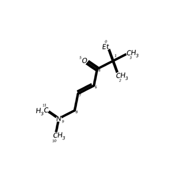 CCC(C)(C)C(=O)/C=C/CN(C)C